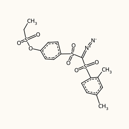 CCS(=O)(=O)Oc1ccc(S(=O)(=O)C(=[N+]=[N-])S(=O)(=O)c2ccc(C)cc2C)cc1